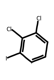 Clc1cc[c]c(I)c1Cl